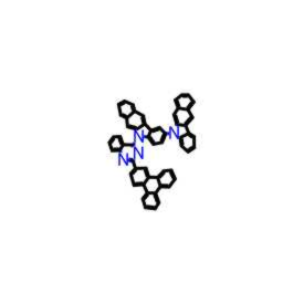 c1ccc2cc3c(cc2c1)c1ccccc1n3-c1ccc2c(c1)c1cc3ccccc3cc1n2-c1nc(-c2ccc3c4ccccc4c4ccccc4c3c2)nc2ccccc12